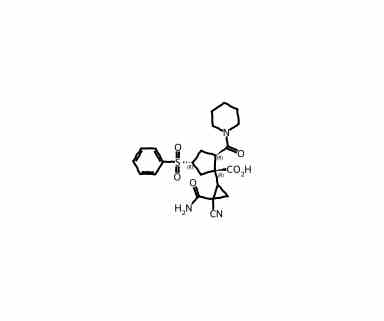 N#CC1(C(N)=O)CC1[C@]1(C(=O)O)C[C@H](S(=O)(=O)c2ccccc2)C[C@H]1C(=O)N1CCCCC1